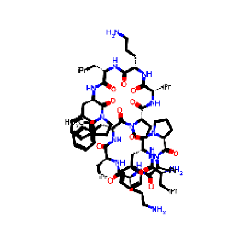 CC(C)C[C@H](NC(=O)[C@H](CCCN)NC(=O)[C@@H](NC(=O)[C@@H]1CCCN1C(=O)[C@@H](Cc1ccccc1)NC(=O)[C@H](CC(C)C)NC(=O)[C@H](CCCN)NC(=O)[C@@H](NC(=O)[C@@H]1CCCN1C(=O)[C@@H](Cc1ccccc1)NC(=O)[C@@H](N)CC(C)C)C(C)C)C(C)C)C(=O)N[C@H](Cc1ccccc1)C(=O)N1CCC[C@H]1C(=O)O